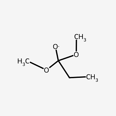 CCC([O])(OC)OC